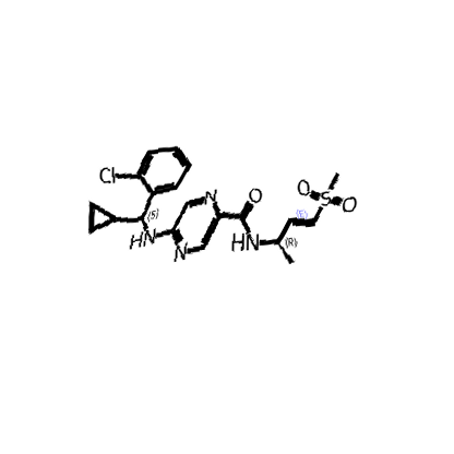 C[C@H](/C=C/S(C)(=O)=O)NC(=O)c1cnc(N[C@H](c2ccccc2Cl)C2CC2)cn1